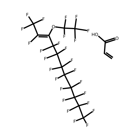 C=CC(=O)O.FC(=C(OC(F)(F)C(F)(F)F)C(F)(F)C(F)(F)C(F)(F)C(F)(F)C(F)(F)C(F)(F)C(F)(F)C(F)(F)F)C(F)(F)F